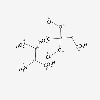 CCOC(CC(=O)O)(OCC)C(=O)O.NC(CC(=O)O)C(=O)O